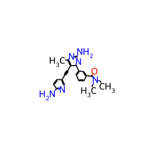 CCN(CC)C(=O)c1cccc(-c2nc(N)nc(C)c2C#Cc2ccc(N)nc2)c1